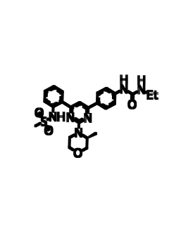 CCNC(=O)Nc1ccc(-c2cc(-c3ccccc3NS(C)(=O)=O)nc(N3CCOC[C@@H]3C)n2)cc1